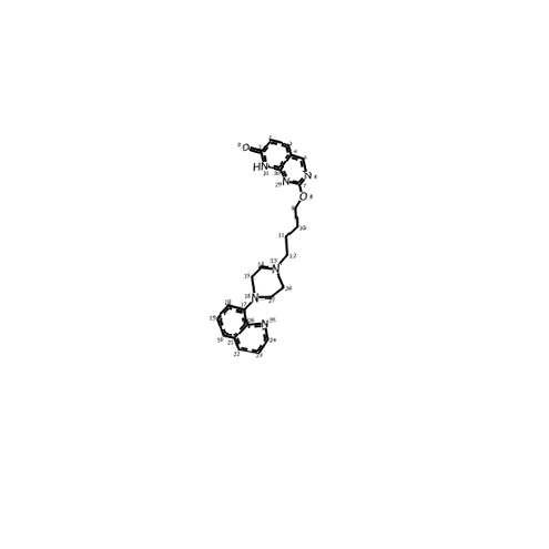 O=c1ccc2cnc(OCCCCN3CCN(c4cccc5cccnc45)CC3)nc2[nH]1